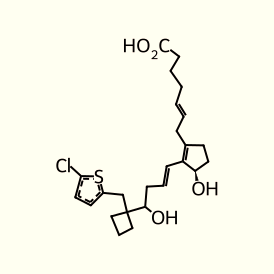 O=C(O)CCC/C=C/CC1=C(/C=C/CC(O)C2(Cc3ccc(Cl)s3)CCC2)[C@H](O)CC1